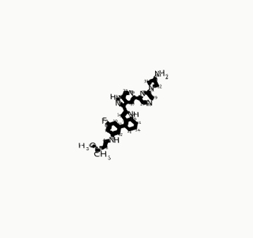 CN(C)CCNc1cc(F)cc(-c2cccc3[nH]c(-c4n[nH]c5cnc(-c6cncc(N7CC(N)C7)n6)cc45)cc23)c1